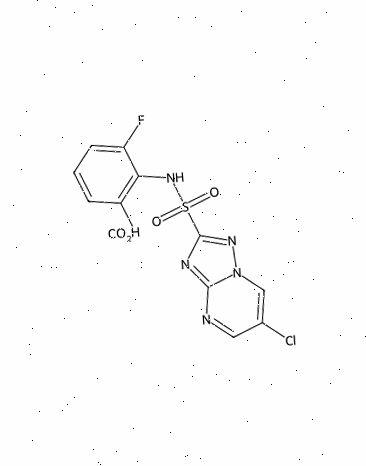 O=C(O)c1cccc(F)c1NS(=O)(=O)c1nc2ncc(Cl)cn2n1